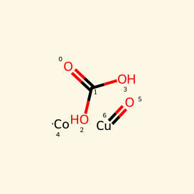 O=C(O)O.[Co].[O]=[Cu]